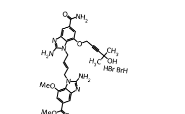 Br.Br.COC(=O)c1cc(OC)c2c(c1)nc(N)n2C/C=C/Cn1c(N)nc2cc(C(N)=O)cc(OCC#CC(C)(C)O)c21